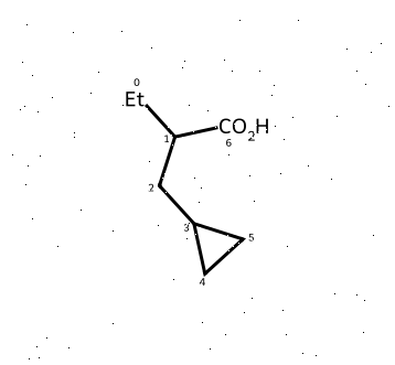 CCC(CC1CC1)C(=O)O